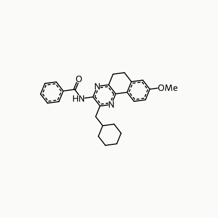 COc1ccc2c(c1)CCc1nc(NC(=O)c3ccccc3)c(CC3CCCCC3)nc1-2